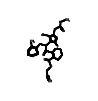 C#CCOC(=O)C1=C(C(=O)N(Cc2cnccc2C)c2c(F)sc(CC(=O)OC)c2Cl)CCCC1